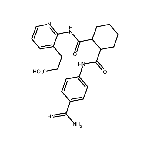 N=C(N)c1ccc(NC(=O)C2CCCCC2C(=O)Nc2ncccc2CCC(=O)O)cc1